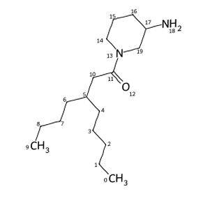 CCCCCC(CCCC)CC(=O)N1CCCC(N)C1